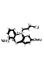 COc1ccc2c(c1)N(CCCCl)c1cccc(SC)c1S2